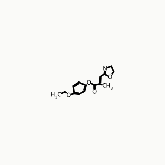 CCOc1ccc(OC(=O)C(C)=CC2=NCCO2)cc1